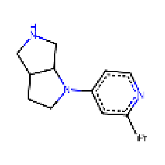 CC(C)c1cc(N2CCC3CNCC32)ccn1